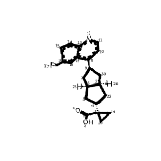 O=C(O)C1([C@@H]2C[C@H]3C[C@@H](c4ccnc5ccc(F)cc45)C[C@H]3C2)CC1